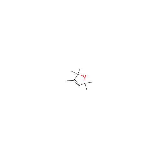 CC1=CC(C)(C)OC1(C)C